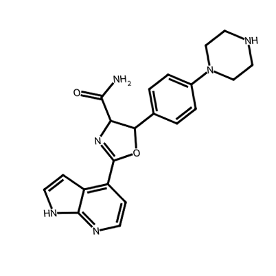 NC(=O)C1N=C(c2ccnc3[nH]ccc23)OC1c1ccc(N2CCNCC2)cc1